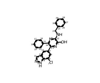 Oc1nc(-c2cc(Cl)c3[nH]ncc3c2)c(-c2ccccc2)nc1NCc1ccccc1